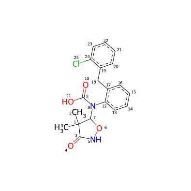 CC1(C)C(=O)NOC1N(C(=O)O)c1ccccc1Cc1ccccc1Cl